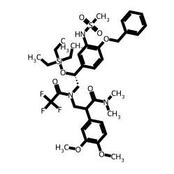 CC[Si](CC)(CC)O[C@@H](CN(CC(C(=O)N(C)C)c1ccc(OC)c(OC)c1)C(=O)C(F)(F)F)c1ccc(OCc2ccccc2)c(NS(C)(=O)=O)c1